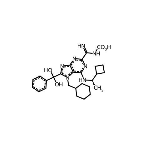 C[C@@H](Nc1nc(C(=N)NC(=O)O)nc2nc(C(O)(O)c3ccccc3)n(CC3CCCCC3)c12)C1CCC1